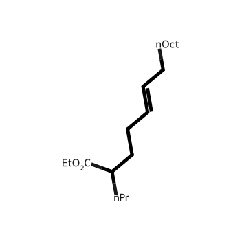 CCCCCCCCCC=CCCC(CCC)C(=O)OCC